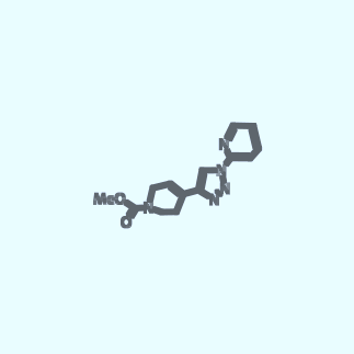 COC(=O)N1CC=C(c2cn(-c3ccccn3)nn2)CC1